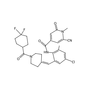 Cc1cc(Cl)cc(C=C2CCN(C(=O)C3CCC(F)(F)CC3)CC2)c1NC(=O)c1cc(C#N)n(C)c(=O)c1